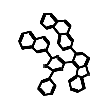 c1ccc(C2=NC(c3c(-c4ccc5c(ccc6ccccc65)c4)ccc4oc5ccccc5c34)=NC(c3ccc4ccccc4c3)N2)cc1